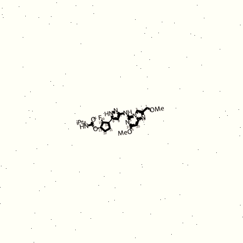 COCc1cn2c(Nc3cc([C@H]4CC[C@@H](OC(=O)NC(C)C)[C@H]4F)[nH]n3)nc(OC)cc2n1